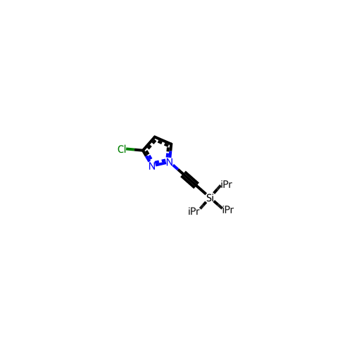 CC(C)[Si](C#Cn1ccc(Cl)n1)(C(C)C)C(C)C